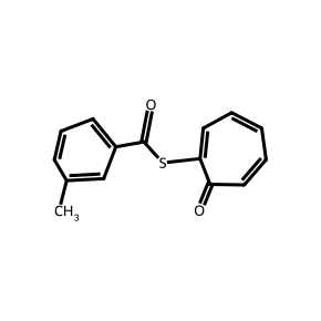 Cc1cccc(C(=O)Sc2cccccc2=O)c1